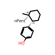 CCCCC[C@]1(C)CCCC[C@@H]1c1ccc(O)cc1